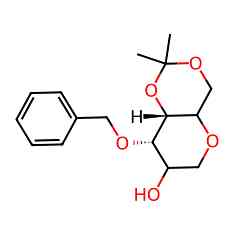 CC1(C)OCC2OCC(O)[C@H](OCc3ccccc3)[C@@H]2O1